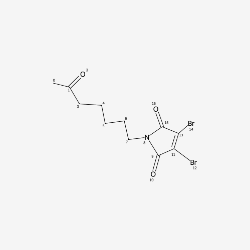 CC(=O)CCCCCN1C(=O)C(Br)=C(Br)C1=O